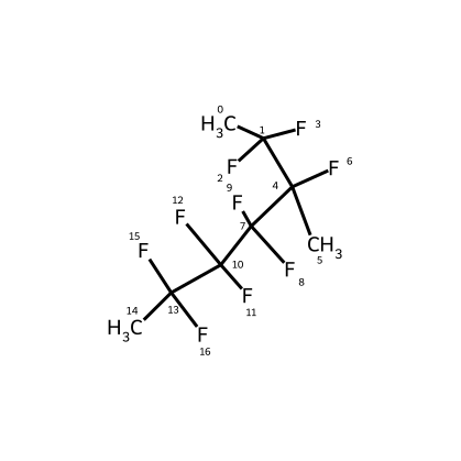 CC(F)(F)C(C)(F)C(F)(F)C(F)(F)C(C)(F)F